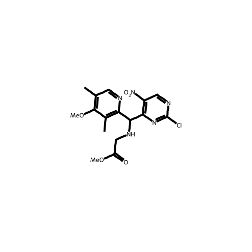 COC(=O)CNC(c1nc(Cl)ncc1[N+](=O)[O-])c1ncc(C)c(OC)c1C